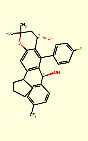 CC1(C)C[C@H](O)c2c(cc(C3CCCC3)c([C@@H](O)c3ccc(C(F)(F)F)cc3)c2-c2ccc(F)cc2)O1